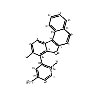 Cc1ccc2c(oc3ccc4ccccc4c32)c1-c1cc(C(C)C)cc[n+]1C